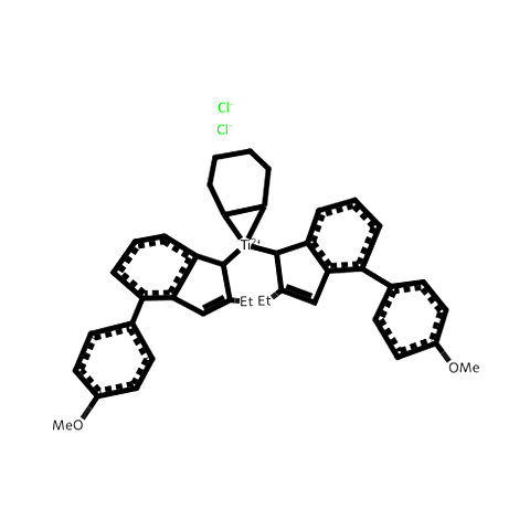 CCC1=Cc2c(-c3ccc(OC)cc3)cccc2[CH]1[Ti+2]1([CH]2C(CC)=Cc3c(-c4ccc(OC)cc4)cccc32)[CH]2CCCC[CH]21.[Cl-].[Cl-]